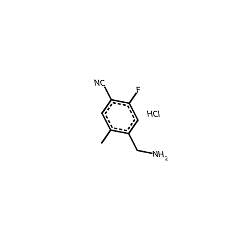 Cc1cc(C#N)c(F)cc1CN.Cl